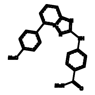 CNC(=O)c1ccc(Nc2nc3cccc(-c4ccc(OC)cc4)n3n2)cc1